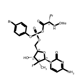 CON[C@H](C(=O)OP(=O)(OC[C@H]1O[C@@H](n2ccc(N)nc2=O)[C@@](C)(F)[C@@H]1O)Oc1ccc(Br)cc1)C(C)C